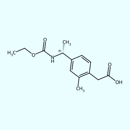 CCOC(=O)N[C@H](C)c1ccc(CC(=O)O)c(C)c1